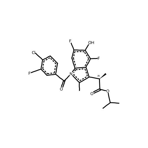 Cc1c([C@@H](C)C(=O)OC(C)C)c2c(F)c(O)c(F)cc2n1C(=O)c1ccc(Cl)c(F)c1